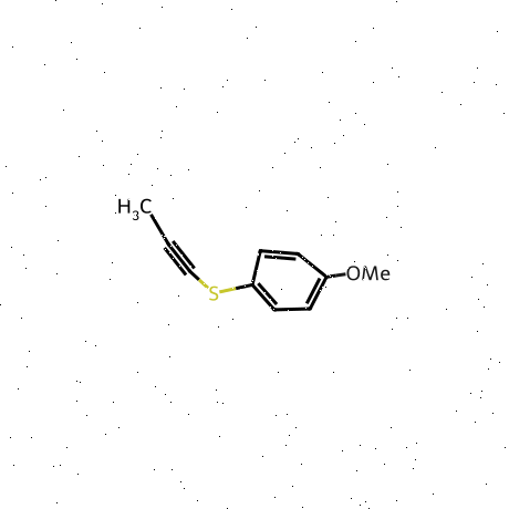 CC#CSc1ccc(OC)cc1